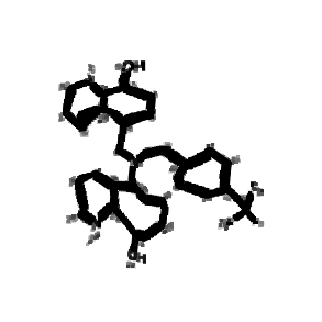 Oc1ccc(CN(Cc2ccc(C(F)(F)F)cc2)c2ccc(O)c3ncccc23)c2cccnc12